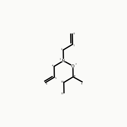 C=CCN(CC=C)OC(C)CC